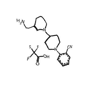 N#Cc1ccccc1N1CCC(N2CCCC(CN)C2)CC1.O=C(O)C(F)(F)F